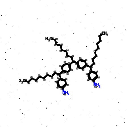 CCCCCCCCCC(c1ccc(N)cc1)c1ccc(C(CCCCCCCC)c2ccc(C(CCCCCCCCC)c3ccc(N)cc3)cc2)cc1